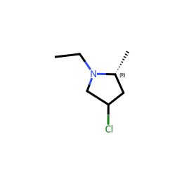 CCN1CC(Cl)C[C@H]1C